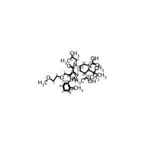 COCCOCc1c(C(=O)N(CC(C)C)[C@H]2C[C@@H](C(C)O)C(C(C)(C)C)N(C(=O)O)C2)nnn1-c1ccccc1C